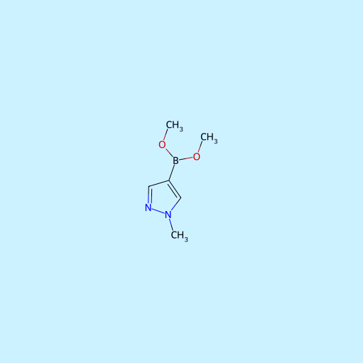 COB(OC)c1cnn(C)c1